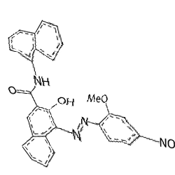 COc1cc([N+](=O)[O-])ccc1/N=N/c1c(O)c(C(=O)Nc2cccc3ccccc23)cc2ccccc12